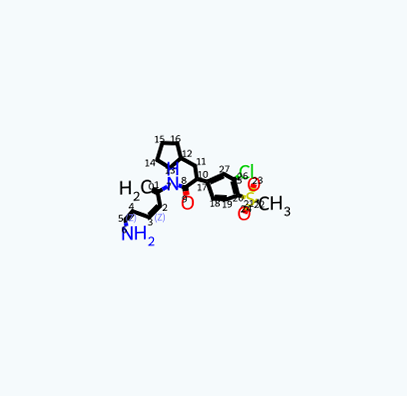 C=C(/C=C\C=C/N)NC(=O)C(CC1CCCC1)c1ccc(S(C)(=O)=O)c(Cl)c1